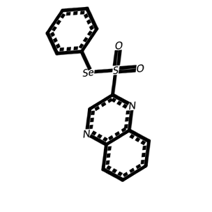 O=S(=O)([Se]c1ccccc1)c1cnc2ccccc2n1